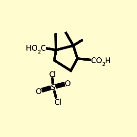 CC1(C(=O)O)CCC(C(=O)O)C1(C)C.O=S(=O)(Cl)Cl